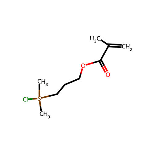 C=C(C)C(=O)OCCCS(C)(C)Cl